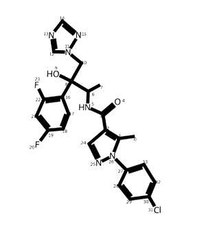 Cc1c(C(=O)NC(C)C(O)(Cn2cncn2)c2ccc(F)cc2F)cnn1-c1ccc(Cl)cc1